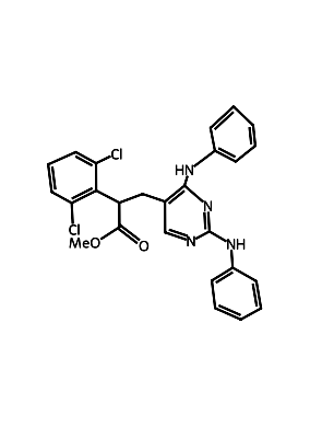 COC(=O)C(Cc1cnc(Nc2ccccc2)nc1Nc1ccccc1)c1c(Cl)cccc1Cl